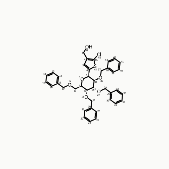 OCc1cc([C@@H]2O[C@H](COCc3ccccc3)[C@@H](OCc3ccccc3)[C@@H](OCc3ccccc3)[C@@H]2OCc2ccccc2)sc1Cl